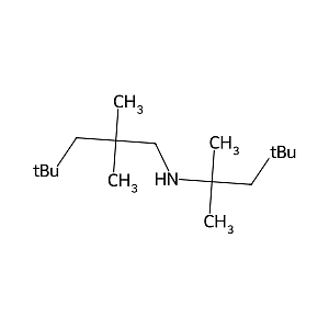 CC(C)(C)CC(C)(C)CNC(C)(C)CC(C)(C)C